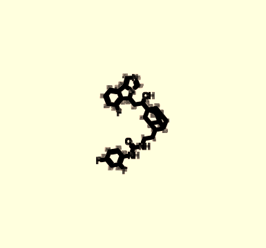 O=C(NCCC1C2CC3CC1CC(C(O)CC1c4c(F)cccc4-c4cncn41)(C3)C2)Nc1ccc(F)cc1F